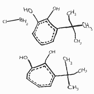 BCl.CC(C)(C)c1cccc(O)c1O.CC(C)(C)c1cccc(O)c1O